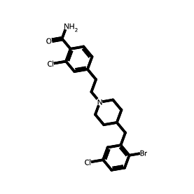 NC(=O)c1ccc(CCN2CCC(Cc3cc(Cl)ccc3Br)CC2)cc1Cl